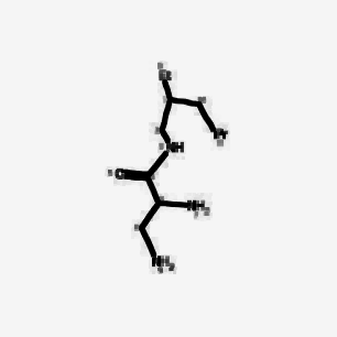 CCC(CNC(=O)C(N)CN)CC(C)C